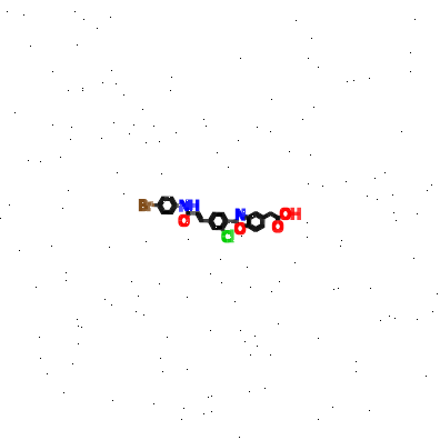 O=C(O)Cc1ccc2oc(-c3ccc(C=CC(=O)Nc4ccc(Br)cc4)cc3Cl)nc2c1